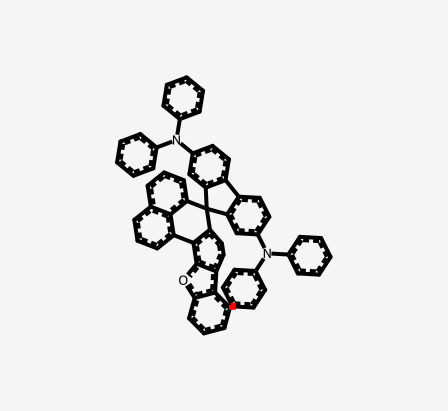 c1ccc(N(c2ccccc2)c2ccc3c(c2)C2(c4cc(N(c5ccccc5)c5ccccc5)ccc4-3)c3ccc4c(oc5ccccc54)c3-c3cccc4cccc2c34)cc1